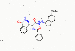 COc1ccc2c(c1)/C(=N/NC(=O)C(NC(=O)c1ccccc1)c1n[nH]c(=O)c3ccccc13)CC2